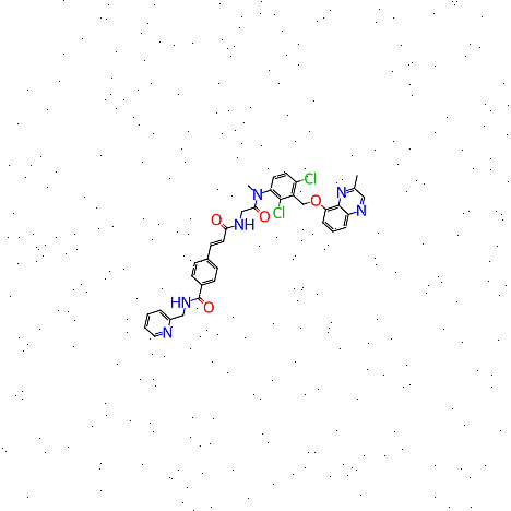 Cc1cnc2cccc(OCc3c(Cl)ccc(N(C)C(=O)CNC(=O)C=Cc4ccc(C(=O)NCc5ccccn5)cc4)c3Cl)c2n1